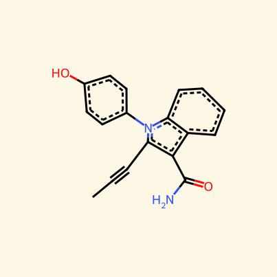 CC#Cc1c(C(N)=O)c2ccccc2n1-c1ccc(O)cc1